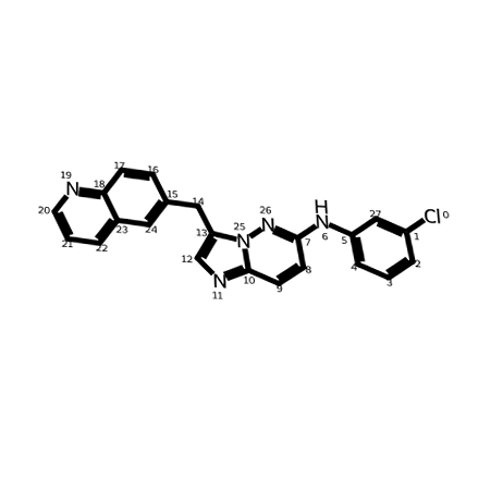 Clc1cccc(Nc2ccc3ncc(Cc4ccc5ncccc5c4)n3n2)c1